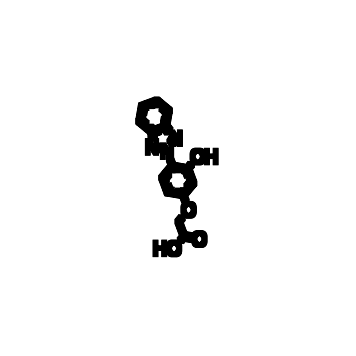 O=C(O)COc1ccc(-n2nc3ccccc3n2)c(O)c1